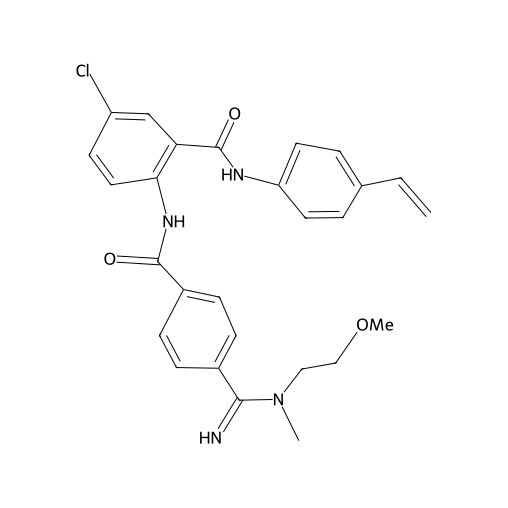 C=Cc1ccc(NC(=O)c2cc(Cl)ccc2NC(=O)c2ccc(C(=N)N(C)CCOC)cc2)cc1